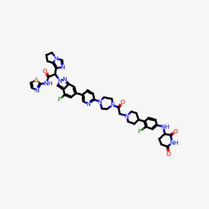 O=C1CCC(Nc2ccc(C3CCN(CC(=O)N4CCN(c5ccc(-c6cc(F)c7cn(C(C(=O)Nc8nccs8)c8ncn9c8CCC9)nc7c6)cn5)CC4)CC3)c(F)c2)C(=O)N1